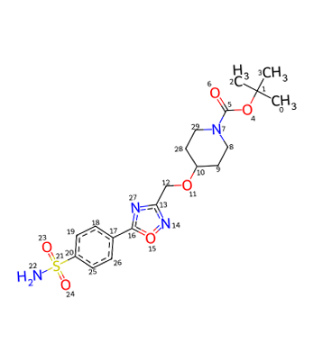 CC(C)(C)OC(=O)N1CCC(OCc2noc(-c3ccc(S(N)(=O)=O)cc3)n2)CC1